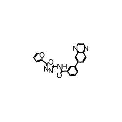 O=C(Nc1nnc(-c2ccco2)o1)c1cccc(-c2ccc3nccnc3c2)c1